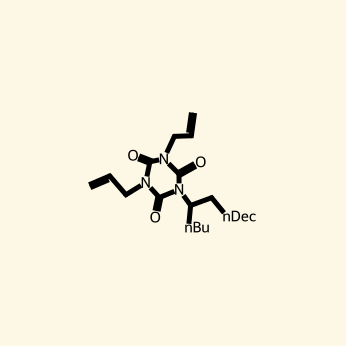 C=CCn1c(=O)n(CC=C)c(=O)n(C(CCCC)CCCCCCCCCCC)c1=O